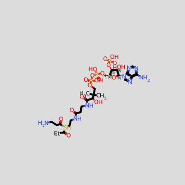 CCC(=O)[SH](CCNC(=O)CCNC(=O)C(O)C(C)(C)COP(=O)(O)OP(=O)(O)OC[C@H]1O[C@@H](n2cnc3c(N)ncnc32)[C@H](O)[C@@H]1OP(=O)(O)O)C(=O)CCN